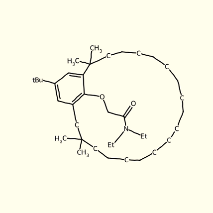 CCN(CC)C(=O)COc1c2cc(C(C)(C)C)cc1C(C)(C)CCCCCCCCCCCCCCCC(C)(C)C2